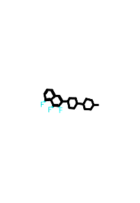 CC1CCC(C2CCC(c3cc4cccc(F)c4c(F)c3F)CC2)CC1